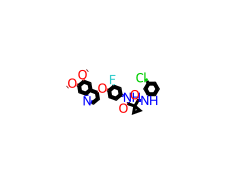 COc1cc2nccc(Oc3ccc(NC(=O)C4(C(=O)Nc5cccc(Cl)c5)CC4)cc3F)c2cc1OC